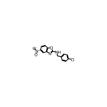 O=[N+]([O-])c1ccc2oc(NCc3ccc(Cl)cc3)nc2c1